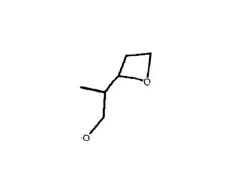 CC(C[O])C1CCO1